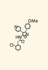 COc1ccc(-c2noc(NC(=O)Cc3ccccc3Cl)c2-c2ccncc2)cc1